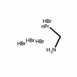 Br.Br.Br.Br.CCCCN